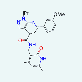 COc1cccc(C2=Nc3c(cnn3C(C)C)C(C(=O)NCc3c(C)cc(C)[nH]c3=O)C2)c1